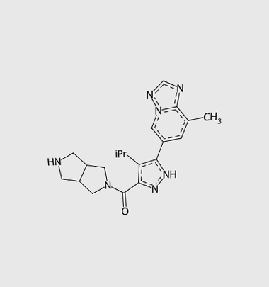 Cc1cc(-c2[nH]nc(C(=O)N3CC4CNCC4C3)c2C(C)C)cn2ncnc12